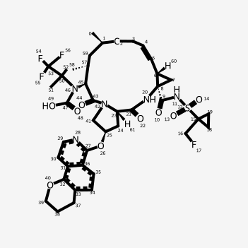 C[C@H]1CCC=C[C@@H]2C[C@@]2(C(=O)NS(=O)(=O)C2(CF)CC2)NC(=O)[C@@H]2C[C@@H](Oc3nccc4c5c(ccc34)CCCO5)CN2C(=O)[C@@H](N(C(=O)O)C(C)(C)C(F)(F)F)[C@H](C)C1